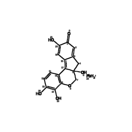 O=C1C=C2CC3(O)COc4c(ccc(O)c4O)C3=C2C=C1O.[PbH2]